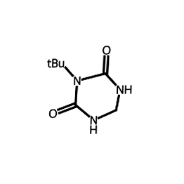 CC(C)(C)N1C(=O)NCNC1=O